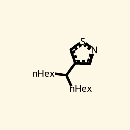 CCCCCCC(CCCCCC)c1cnsc1